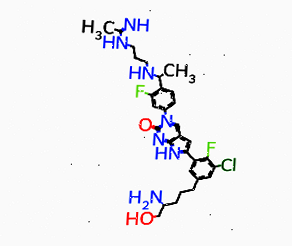 CC(=N)NCCCN[C@@H](C)c1ccc(-n2cc3cc(-c4cc(CCC[C@@H](N)CO)cc(Cl)c4F)[nH]c3nc2=O)cc1F